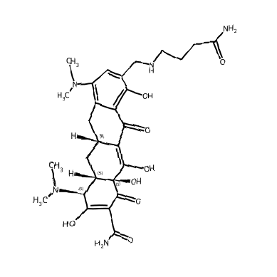 CN(C)c1cc(CNCCCC(N)=O)c(O)c2c1C[C@H]1C[C@H]3[C@H](N(C)C)C(O)=C(C(N)=O)C(=O)[C@@]3(O)C(O)=C1C2=O